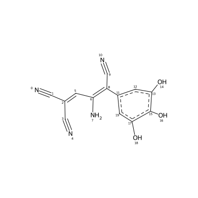 N#CC(C#N)=C/C(N)=C(\C#N)c1cc(O)c(O)c(O)c1